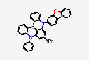 CC(C)c1cc2c3c(c1)N(c1ccc4c(c1)oc1ccccc14)c1ccccc1B3c1ccccc1N2c1ccccc1